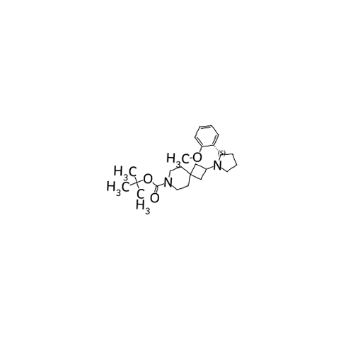 COc1ccccc1[C@@H]1CCCN1C1CC2(CCN(C(=O)OC(C)(C)C)CC2)C1